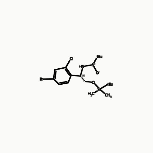 CC(C)(C)[S+]([O-])N[C@H](CO[Si](C)(C)C(C)(C)C)c1ccc(Br)cc1Cl